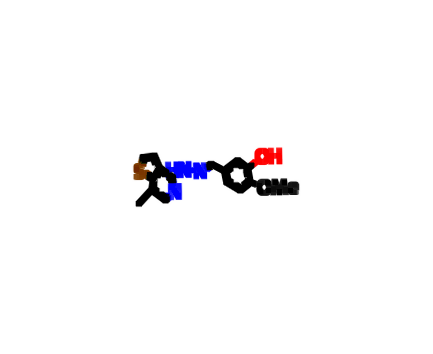 COc1ccc(C=NNc2ncc(C)c3sccc23)cc1O